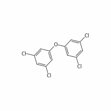 Clc1cc(Cl)cc(Oc2cc(Cl)cc(Cl)c2)c1